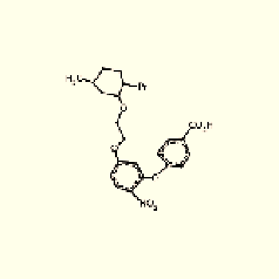 CC1CCC(C(C)C)C(OCCOc2ccc([N+](=O)[O-])c(Oc3ccc(C(=O)O)cc3)c2)C1